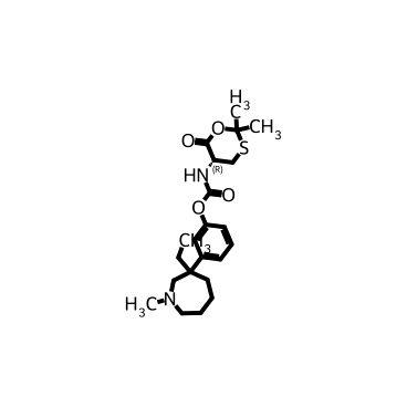 CCC1(c2cccc(OC(=O)N[C@H]3CSC(C)(C)OC3=O)c2)CCCCN(C)C1